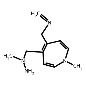 C=NCC1=C(CN(C)N)C=CN(C)C=C1